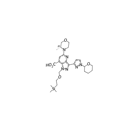 C[C@@H]1COCCN1c1cc(C(=O)O)c2c(n1)c(-c1ccn(C3CCCCO3)n1)nn2COCC[Si](C)(C)C